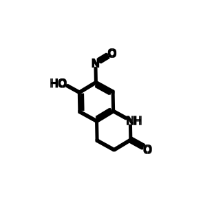 O=Nc1cc2c(cc1O)CCC(=O)N2